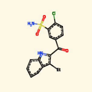 CCc1c(C(=O)c2ccc(Cl)c(S(N)(=O)=O)c2)[nH]c2ccccc12